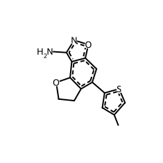 Cc1csc(-c2cc3onc(N)c3c3c2CCO3)c1